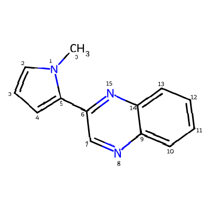 Cn1cccc1-c1[c]nc2ccccc2n1